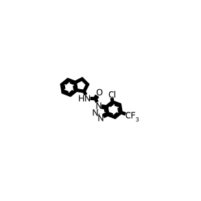 O=C(NC1CCc2ccccc21)n1nnc2cc(C(F)(F)F)cc(Cl)c21